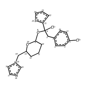 Clc1ccc(CC(Cl)(OC2CCCC(Cn3ccnc3)O2)c2cccs2)cc1